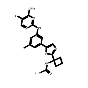 COc1nc(Nc2cc(C)cc(-c3cnc(C4(NC(N)=O)CCC4)s3)c2)ncc1Cl